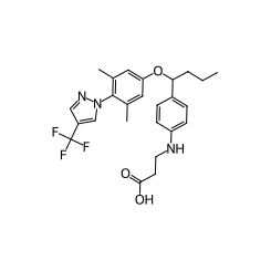 CCCC(Oc1cc(C)c(-n2cc(C(F)(F)F)cn2)c(C)c1)c1ccc(NCCC(=O)O)cc1